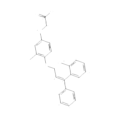 Cc1cc(OCC(=O)O)ccc1SCC=C(c1ccccc1)c1ccccc1Cl